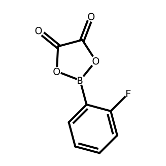 O=C1OB(c2ccccc2F)OC1=O